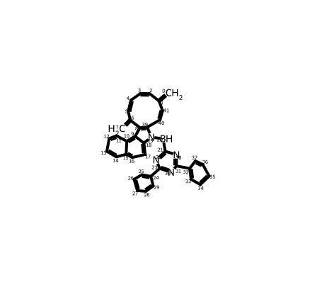 C=c1ccccc(=C)c2c3c4ccccc4ccc3n(Bc3nc(-c4ccccc4)nc(-c4ccccc4)n3)c2cc1